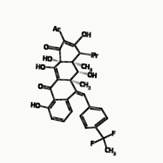 CC(=O)C1=C(O)C(C(C)C)[C@@]2(C)[C@H](O)[C@]3(C)C(=C(O)[C@@]2(O)C1=O)C(=O)c1c(O)cccc1/C3=C\c1ccc(C(C)(F)F)cc1